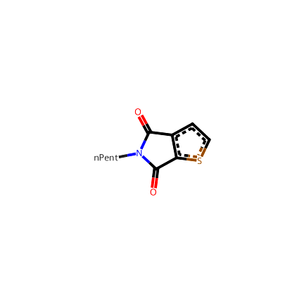 CCCCCN1C(=O)c2ccsc2C1=O